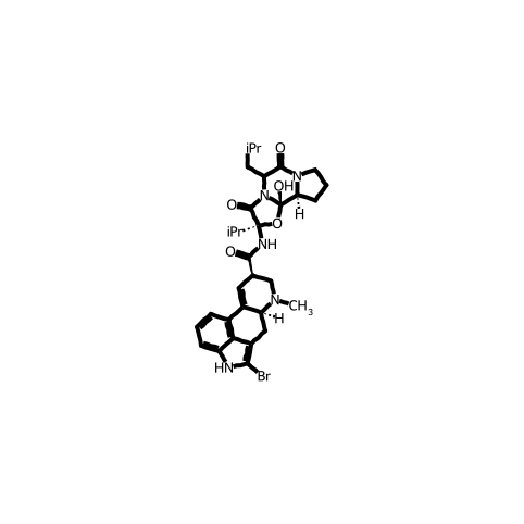 CC(C)CC1C(=O)N2CCC[C@H]2[C@]2(O)O[C@](NC(=O)[C@@H]3C=C4c5cccc6[nH]c(Br)c(c56)C[C@@H]4N(C)C3)(C(C)C)C(=O)N12